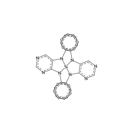 c1ccc(N2c3cncnc3N(c3ccccc3)[Si]23N(c2ccccc2)c2cncnc2N3c2ccccc2)cc1